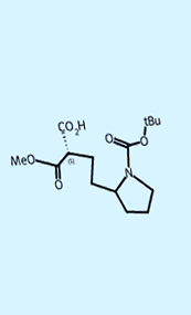 COC(=O)[C@@H](CCC1CCCN1C(=O)OC(C)(C)C)C(=O)O